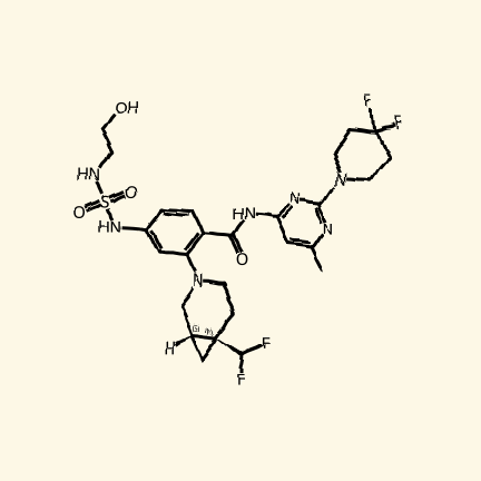 Cc1cc(NC(=O)c2ccc(NS(=O)(=O)NCCO)cc2N2CC[C@]3(C(F)F)C[C@@H]3C2)nc(N2CCC(F)(F)CC2)n1